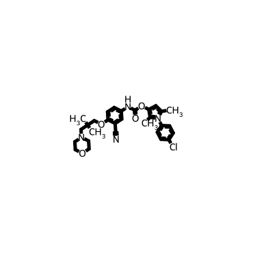 Cc1cc(OC(=O)Nc2ccc(OCC(C)(C)CN3CCOCC3)c(C#N)c2)c(C)n1-c1ccc(Cl)cc1